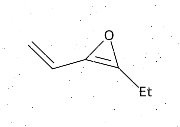 C=CC1=C(CC)O1